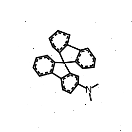 CN(C)c1ccc2c(c1)C1(c3ccccc3-c3ccccc31)c1ccccc1-2